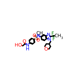 CN(c1ccc2c(c1)nc(C(C)(F)F)n2CC1CCOCC1)S(=O)(=O)c1ccc(NC(=O)CO)cc1